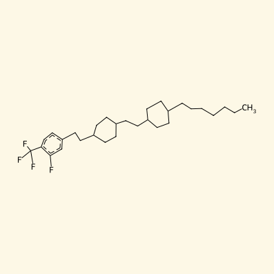 CCCCCCCC1CCC(CCC2CCC(CCc3ccc(C(F)(F)F)c(F)c3)CC2)CC1